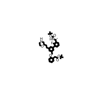 C[C@@H](NC(=O)OC(C)(C)C)c1cccc(-c2cc(CCC3CNCCO3)cc(COc3ccccc3CC(=O)OC(C)(C)C)c2)c1F